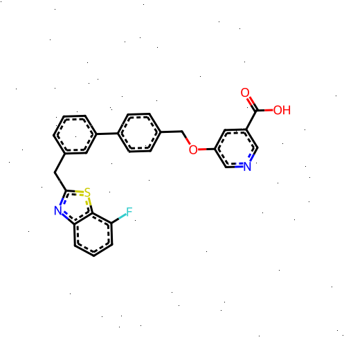 O=C(O)c1cncc(OCc2ccc(-c3cccc(Cc4nc5cccc(F)c5s4)c3)cc2)c1